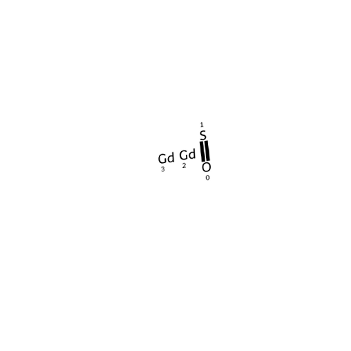 O=S.[Gd].[Gd]